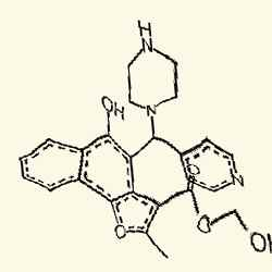 Cc1oc2c(c1C(=O)OCO)c(C(c1ccncc1)N1CCNCC1)c(O)c1ccccc12